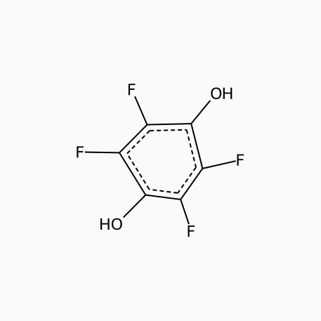 Oc1c(F)c(F)c(O)c(F)c1F